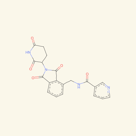 O=C1CCC(N2C(=O)c3cccc(CNC(=O)c4cccnc4)c3C2=O)C(=O)N1